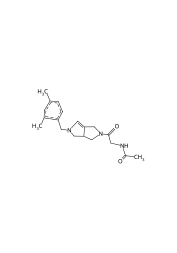 CC(=O)NCC(=O)N1CC2=CN(Cc3ccc(C)cc3C)CC2C1